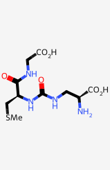 CSC[C@H](NC(=O)NC[C@H](N)C(=O)O)C(=O)NCC(=O)O